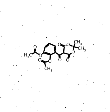 CC(=O)Oc1cccc(C(=O)C2C(=O)OC(C)(C)OC2=O)c1OC(C)=O